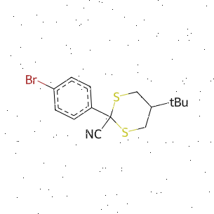 CC(C)(C)C1CSC(C#N)(c2ccc(Br)cc2)SC1